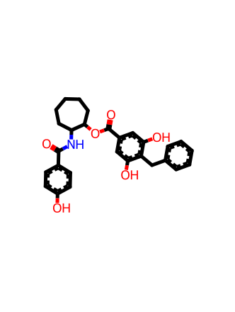 O=C(NC1CCCCCC1OC(=O)c1cc(O)c(Cc2ccccc2)c(O)c1)c1ccc(O)cc1